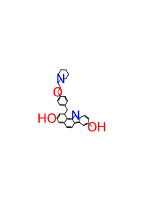 OC1=CC(Cc2ccc(OCCN3CCCCC3)cc2)c2c3c(ccc2=C1)=c1cc(O)ccc1=N3